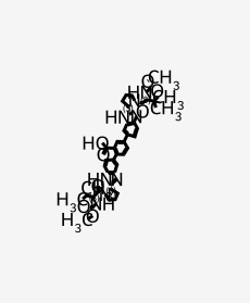 COC(=O)N[C@H](C(=O)N1CCC[C@H]1c1nc2cc(-c3ccc(-c4ccc5nc([C@@H]6CCCN6C(=O)[C@@H](NC(=O)OC)C(C)C)[nH]c5c4)cc3C(=O)O)ccc2[nH]1)C(C)C